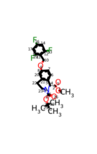 COC(=O)[C@H]1c2ccc(OCc3c(F)cc(F)cc3F)cc2CCN1C(=O)OC(C)(C)C